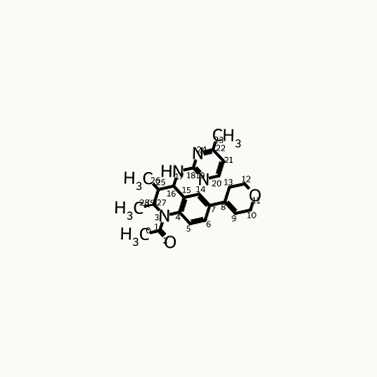 CC(=O)N1c2ccc(C3=CCOCC3)cc2C(Nc2nccc(C)n2)C(C)[C@@H]1C